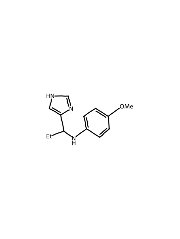 CCC(Nc1ccc(OC)cc1)c1c[nH]cn1